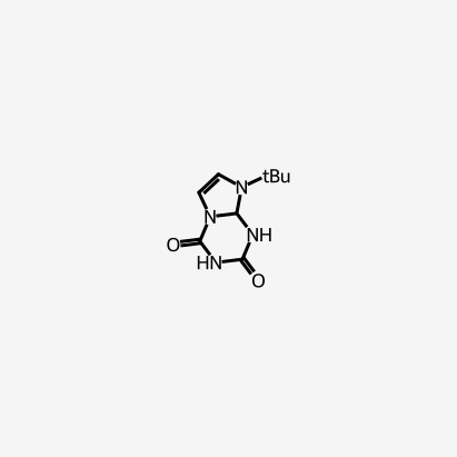 CC(C)(C)N1C=CN2C(=O)NC(=O)NC21